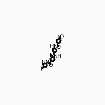 O=Nc1ccc(C(=O)Nc2ccc(-c3nc4cc(C(=O)Nc5ccc(F)cc5)ccc4[nH]3)cc2)cc1